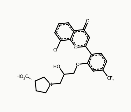 O=C(O)[C@H]1CCN(CC(O)COc2cc(C(F)(F)F)ccc2-c2cc(=O)c3cccc(Cl)c3o2)C1